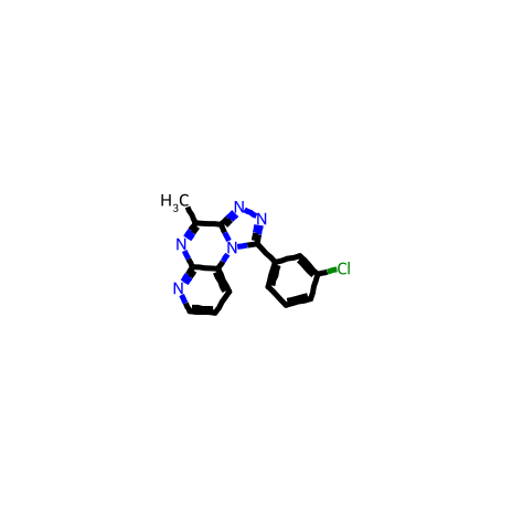 Cc1nc2ncccc2n2c(-c3cccc(Cl)c3)nnc12